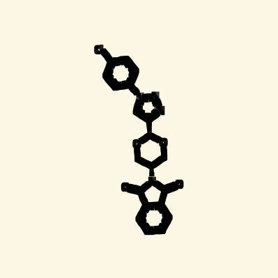 O=C1c2ccccc2C(=O)N1[C@H]1CO[C@H](c2cn(-c3ccc(Cl)cc3)nn2)OC1